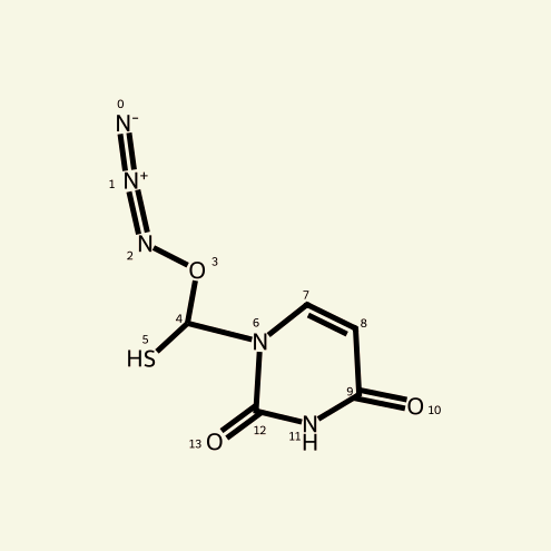 [N-]=[N+]=NOC(S)n1ccc(=O)[nH]c1=O